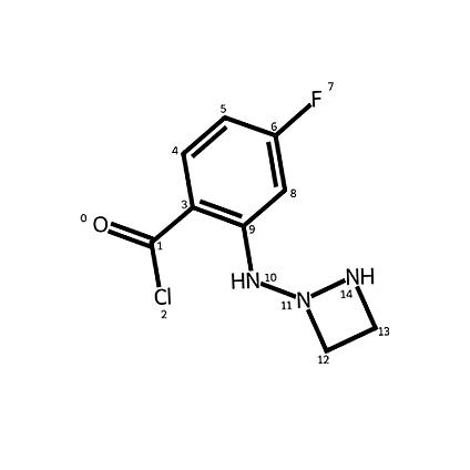 O=C(Cl)c1ccc(F)cc1NN1CCN1